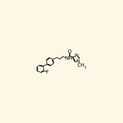 Cn1cnc(C(=O)NCCCc2ccc(-c3ccccc3F)cc2)c1